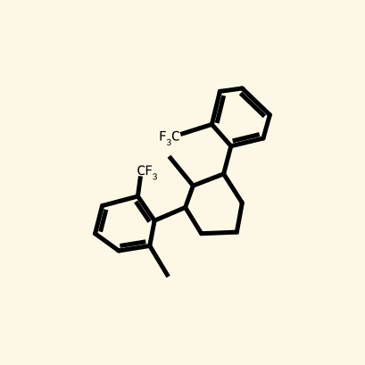 Cc1cccc(C(F)(F)F)c1C1CCCC(c2ccccc2C(F)(F)F)C1C